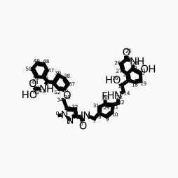 Cn1nc(C(=O)NCc2ccc(CNCC(O)c3ccc(O)c4[nH]c(=O)ccc34)c(F)c2)cc1COc1cccc(C(NC(=O)O)c2ccccc2)c1